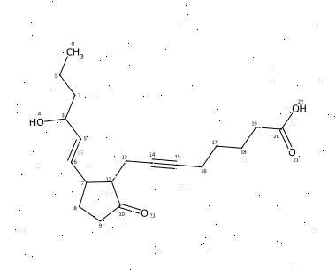 CCCC(O)/C=C/C1CCC(=O)C1CC#CCCCCC(=O)O